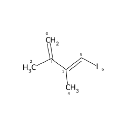 C=C(C)C(C)=CI